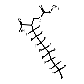 CNC(=O)NCC(C(=O)O)C(F)(F)C(F)(F)C(F)(F)C(F)(F)C(F)(F)C(F)(F)C(F)(F)C(F)(F)F